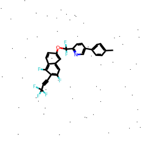 Cc1ccc(-c2ccc(C(F)(F)Oc3ccc4c(F)c(C#CC(F)(F)F)c(F)cc4c3)nc2)cc1